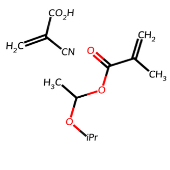 C=C(C#N)C(=O)O.C=C(C)C(=O)OC(C)OC(C)C